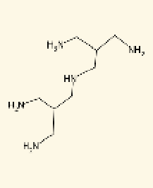 NCC(CN)CNCC(CN)CN